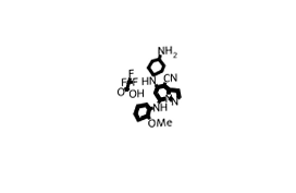 COc1ccccc1Nc1cc(NC2CCC(N)CC2)c(C#N)c2ccnn12.O=C(O)C(F)(F)F